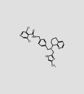 Cc1c[nH]c(CN(Cc2ccc(CNC(=O)c3c(Cl)cncc3Cl)cc2)C2CCCc3cccnc32)n1